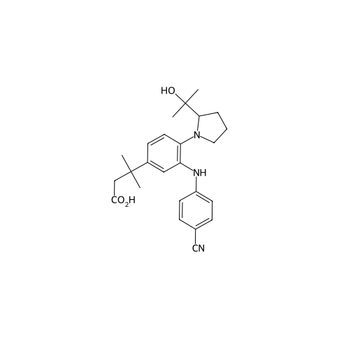 CC(C)(CC(=O)O)c1ccc(N2CCCC2C(C)(C)O)c(Nc2ccc(C#N)cc2)c1